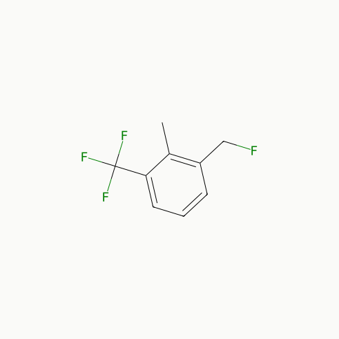 Cc1c(CF)cccc1C(F)(F)F